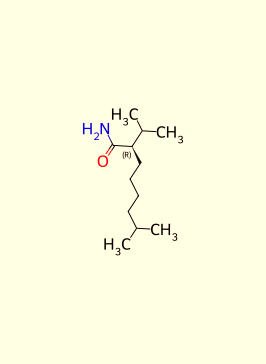 CC(C)CCCC[C@@H](C(N)=O)C(C)C